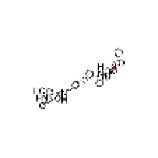 O=C(NC(c1ccccc1)c1cccc(OCc2ccc(CCNC[C@H](O)c3ccc(O)c4[nH]c(=O)ccc34)cc2)c1)O[C@H]1C[N+]2(CC(=O)c3ccccc3)CCC1CC2